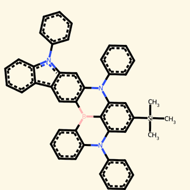 C[Si](C)(C)c1cc2c3c(c1)N(c1ccccc1)c1cc4c(cc1B3c1ccccc1N2c1ccccc1)c1ccccc1n4-c1ccccc1